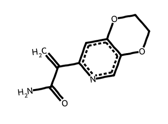 C=C(C(N)=O)c1cc2c(cn1)OCCO2